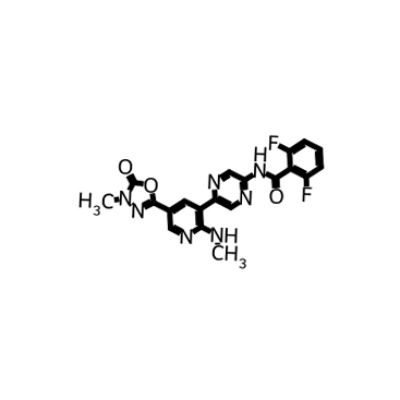 CNc1ncc(-c2nn(C)c(=O)o2)cc1-c1cnc(NC(=O)c2c(F)cccc2F)cn1